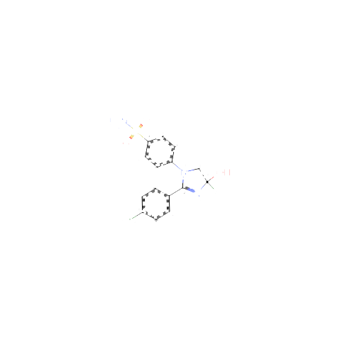 NS(=O)(=O)c1ccc(N2CC(O)(Cl)N=C2c2ccc(Cl)cc2)cc1